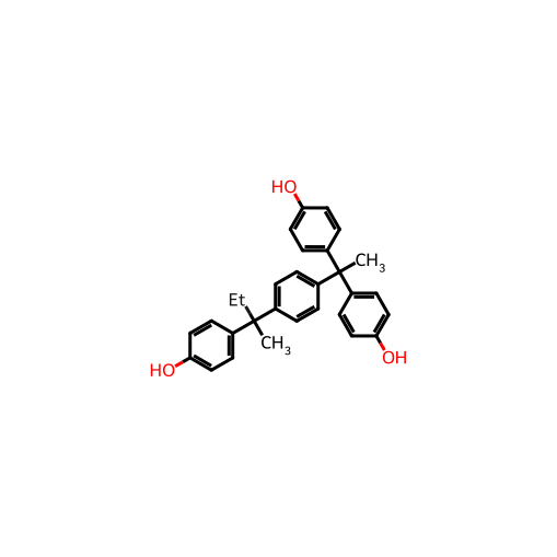 CCC(C)(c1ccc(O)cc1)c1ccc(C(C)(c2ccc(O)cc2)c2ccc(O)cc2)cc1